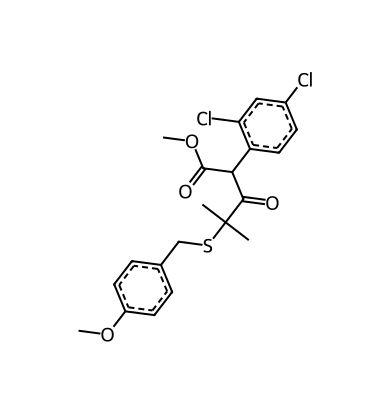 COC(=O)C(C(=O)C(C)(C)SCc1ccc(OC)cc1)c1ccc(Cl)cc1Cl